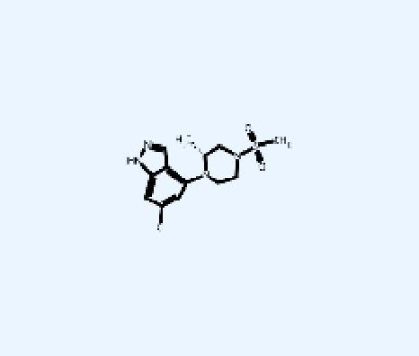 C[C@@H]1CN(S(C)(=O)=O)CCN1c1cc(Cl)cc2[nH]ncc12